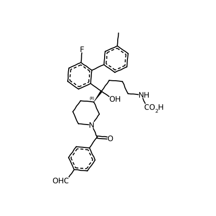 Cc1cccc(-c2c(F)cccc2C(O)(CCCNC(=O)O)[C@@H]2CCCN(C(=O)c3ccc(C=O)cc3)C2)c1